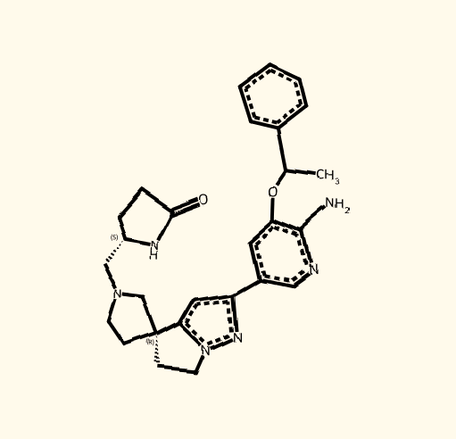 CC(Oc1cc(-c2cc3n(n2)CC[C@@]32CCN(C[C@@H]3CCC(=O)N3)C2)cnc1N)c1ccccc1